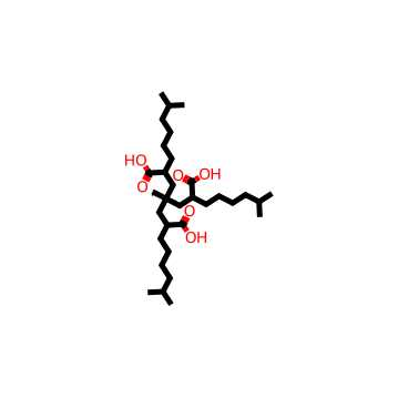 [CH2]C(CC(CCCCC(C)C)C(=O)O)(CC(CCCCC(C)C)C(=O)O)CC(CCCCC(C)C)C(=O)O